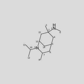 CNC1(C)CC2CC(C)N(C(C)C)C(C2)C1